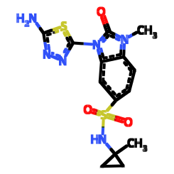 Cn1c(=O)n(-c2nnc(N)s2)c2cc(S(=O)(=O)NC3(C)CC3)ccc21